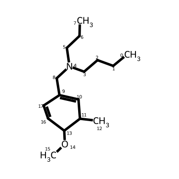 CCCCN(CCC)CC1=CC(C)C(OC)C=C1